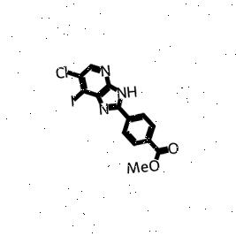 COC(=O)c1ccc(-c2nc3c(I)c(Cl)cnc3[nH]2)cc1